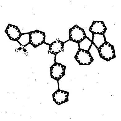 O=S1(=O)c2ccccc2-c2ccc(-c3nc(-c4ccc(-c5ccccc5)cc4)nc(-c4cccc5c4-c4ccccc4C54c5ccccc5-c5ccccc54)n3)cc21